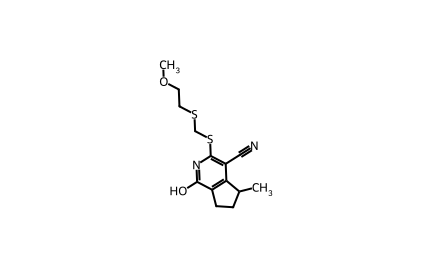 COCCSCSc1nc(O)c2c(c1C#N)C(C)CC2